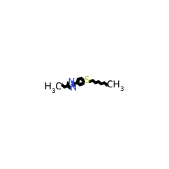 CCCCCCCCSc1ccc(-c2ncc(CCC)cn2)cc1